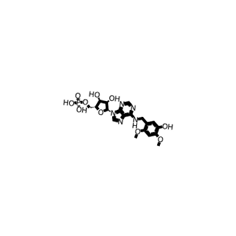 COc1cc(OC)c(CNc2ncnc3c2ncn3[C@@H]2O[C@H](COP(=O)(O)O)[C@@H](O)[C@H]2O)cc1O